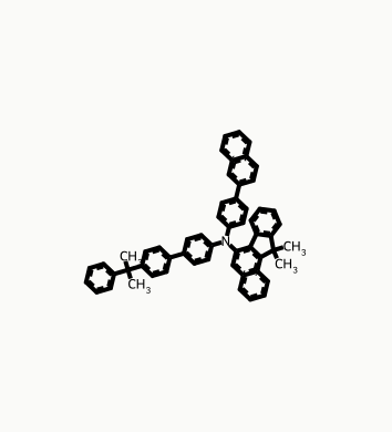 CC(C)(c1ccccc1)c1ccc(-c2ccc(N(c3ccc(-c4ccc5ccccc5c4)cc3)c3cc4ccccc4c4c3-c3ccccc3C4(C)C)cc2)cc1